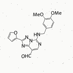 COc1ccc(CNc2ncc(C=O)c3nc(-c4ccco4)nn23)cc1OC